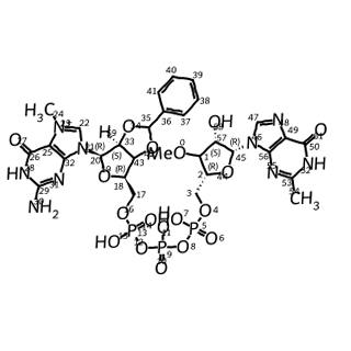 COC1[C@@H](COP(=O)(O)OP(=O)(O)OP(=O)(O)OC[C@H]2O[C@@H](n3c[n+](C)c4c(=O)[nH]c(N)nc43)[C@H]3OC(c4ccccc4)OC23)O[C@@H](n2cnc3c(=O)[nH]c(C)nc32)[C@H]1O